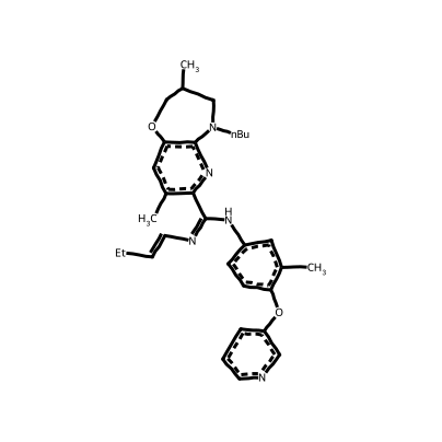 CC/C=C/N=C(/Nc1ccc(Oc2cccnc2)c(C)c1)c1nc2c(cc1C)OCC(C)CN2CCCC